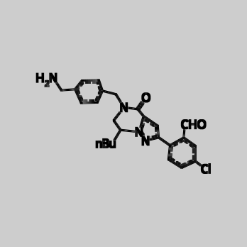 CCCCC1CN(Cc2ccc(CN)cc2)C(=O)c2cc(-c3ccc(Cl)cc3C=O)nn21